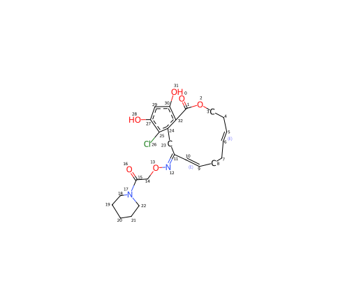 O=C1OCC/C=C/CC/C=C/C(=NOCC(=O)N2CCCCC2)Cc2c(Cl)c(O)cc(O)c21